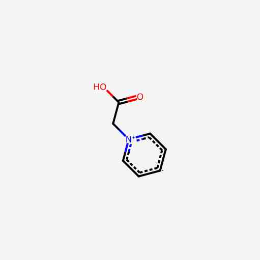 O=C(O)C[n+]1cc[c]cc1